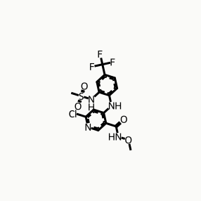 CONC(=O)c1cnc(Cl)cc1Nc1ccc(C(F)(F)F)cc1NS(C)(=O)=O